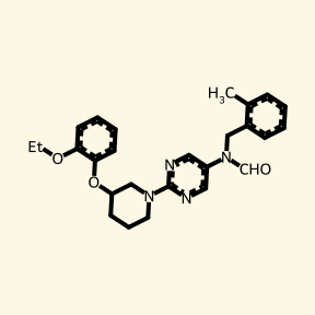 CCOc1ccccc1OC1CCCN(c2ncc(N(C=O)Cc3ccccc3C)cn2)C1